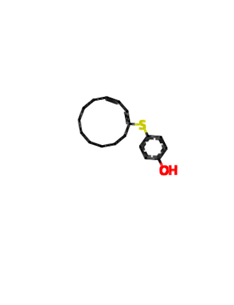 Oc1ccc(SC2=CC=CCCCCCCCC2)cc1